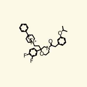 CC(C)Oc1cccc(CC(=O)N2CCOC(CC[N+]34CCC(c5ccccc5)(CC3)CC4)(c3ccc(F)c(F)c3)C2)c1